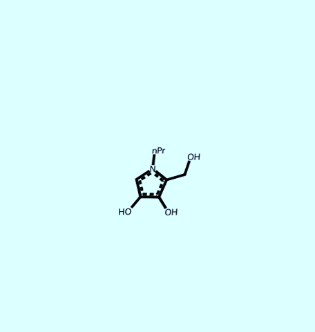 CCCn1cc(O)c(O)c1CO